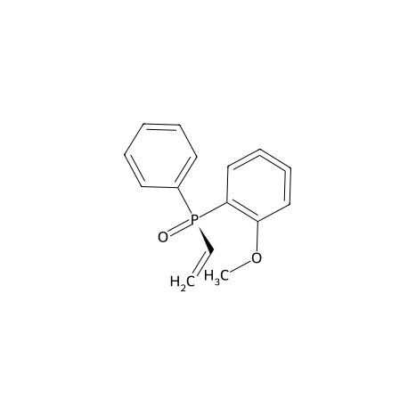 C=C[P@](=O)(C1=C(OC)C=C=C=C1)c1ccccc1